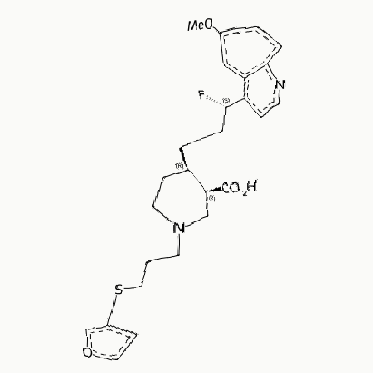 COc1ccc2nccc([C@@H](F)CC[C@@H]3CCN(CCCSc4ccoc4)C[C@@H]3C(=O)O)c2c1